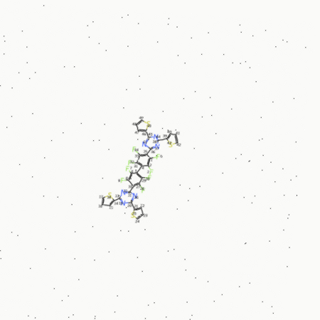 Fc1c(F)c(-c2c(F)c(F)c(-c3nc(-c4cccs4)nc(-c4cccs4)n3)c(F)c2F)c(F)c(F)c1-c1nc(-c2cccs2)nc(-c2cccs2)n1